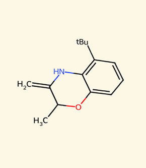 C=C1Nc2c(cccc2C(C)(C)C)OC1C